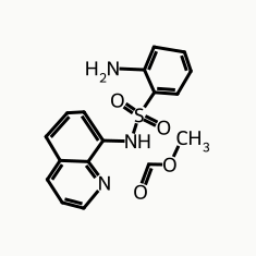 COC=O.Nc1ccccc1S(=O)(=O)Nc1cccc2cccnc12